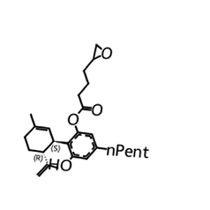 C=C(C)[C@@H]1CCC(C)=C[C@H]1c1c(O)cc(CCCCC)cc1OC(=O)CCCC1CO1